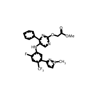 COC(=O)COc1ncc(Nc2cc(-c3ccn(C)n3)c(C(F)(F)F)cc2F)c(-c2ccccc2)n1